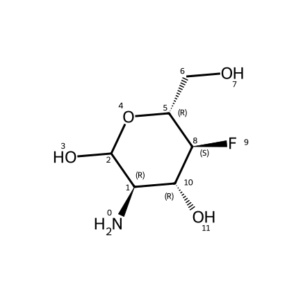 N[C@H]1C(O)O[C@H](CO)[C@@H](F)[C@@H]1O